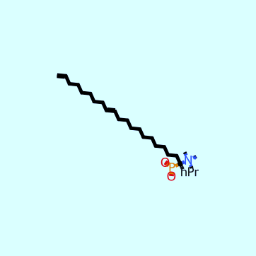 C=CCCCCCCC=CCCCCCCCCCCC(CCC)(P(=O)=O)[N+](C)(C)C